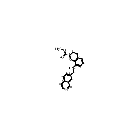 COC(=O)[C@@H]1CCc2cccc(NCc3ccc4ccncc4c3)c2O1